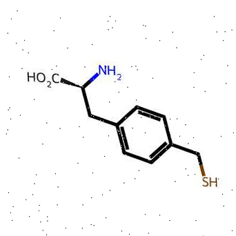 N[C@@H](Cc1ccc(CS)cc1)C(=O)O